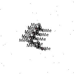 COCCOP(OCCOC)OCCOC.COCCOP(OCCOC)OCCOC.COCCOP(OCCOC)OCCOC.COCCOP(OCCOC)OCCOC.COCCOP(OCCOC)OCCOC.[Fe]